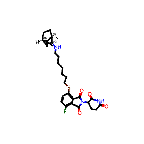 CC1(C)[C@@H]2CC[C@@]1(C)[C@@H](NCCCCCCCSc1ccc(F)c3c1C(=O)N(C1CCC(=O)NC1=O)C3=O)C2